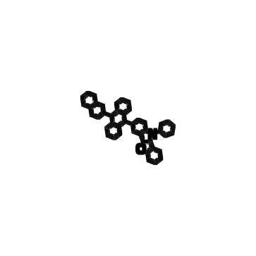 c1ccc(-n2c3ccc(-c4c5ccccc5c(-c5ccc6ccccc6c5)c5ccccc45)cc3c3oc4ccccc4c32)cc1